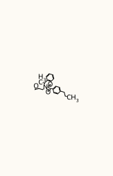 CCCc1ccc(S(=O)(=O)N(CC2CO2)C(C)c2ccccc2)cc1